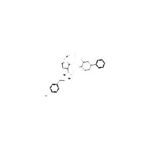 COc1ccc(CCS(=O)(=O)N[C@H]2C[C@@H](C)N(C(=O)O)[C@H]2COC2CCC(c3ccccc3)CC2C)cc1